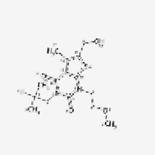 COCCn1c(=O)n(CC(C)(C)F)c(=O)c2c(C)c(CO)sc21